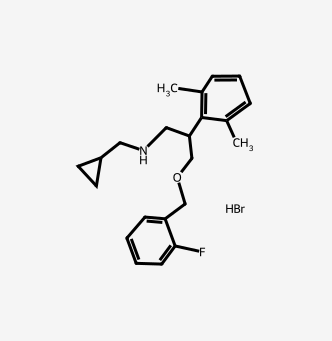 Br.Cc1cccc(C)c1C(CNCC1CC1)COCc1ccccc1F